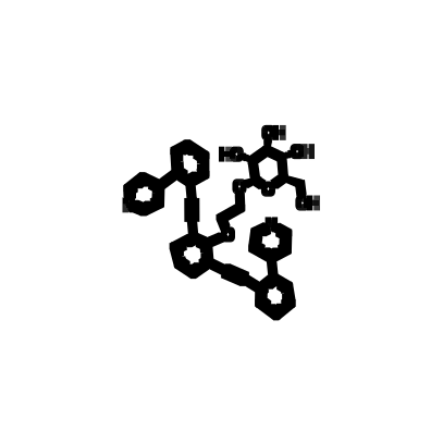 OC[C@H]1O[C@@H](OCCOc2c(C#Cc3ccccc3-c3ccncc3)cccc2C#Cc2ccccc2-c2ccncc2)[C@H](O)[C@@H](O)[C@@H]1O